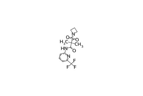 CC(C)(C(=O)Nc1cccc(C(F)(F)F)n1)S(=O)(=O)N1CCC1